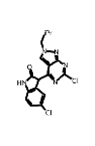 CC(C)Cn1cc2c(C3C(=O)Nc4ccc(Cl)cc43)nc(Cl)nc2n1